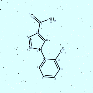 NC(=O)c1cnn(-c2ccccc2C(F)(F)F)c1